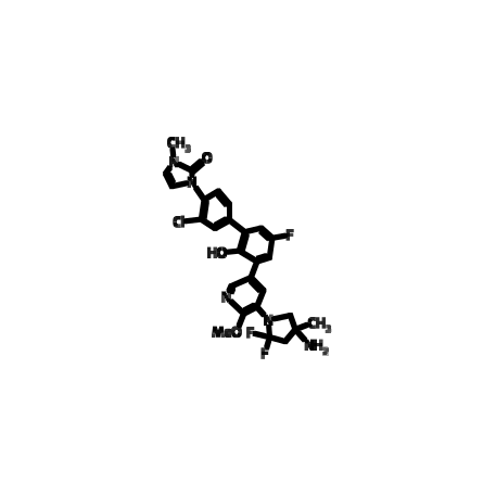 COc1ncc(-c2cc(F)cc(-c3ccc(-n4ccn(C)c4=O)c(Cl)c3)c2O)cc1N1CC(C)(N)CC1(F)F